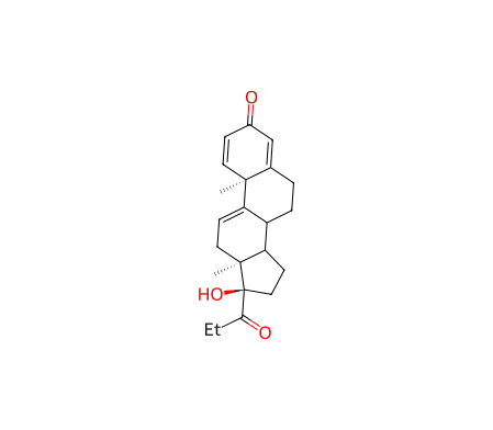 CCC(=O)[C@@]1(O)CCC2C3CCC4=CC(=O)C=C[C@]4(C)C3=CC[C@@]21C